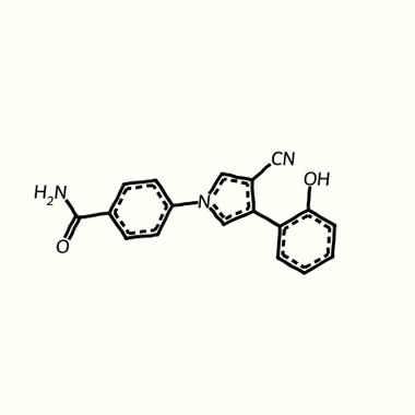 N#Cc1cn(-c2ccc(C(N)=O)cc2)cc1-c1ccccc1O